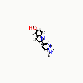 CN(C)c1ccc(C2=Nc3ccc(O)cc3CC2)cn1